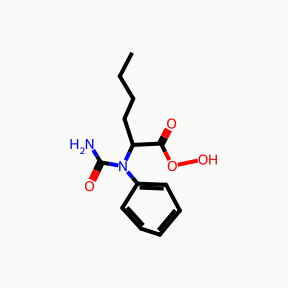 CCCCC(C(=O)OO)N(C(N)=O)c1ccccc1